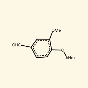 CCCCCCOc1ccc(C=O)cc1OC